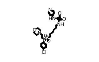 O=c1c(NCCCCCCS(=O)(=O)N(CCN2CCOCC2)c2ccc(Cl)cc2)c(Nc2ccncc2)c1=O